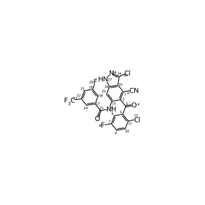 N#Cc1c(C(=O)c2cc(F)ccc2Cl)c(NC(=O)c2cc(F)cc(C(F)(F)F)c2)cc2[nH]nc(Cl)c12